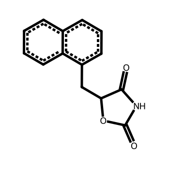 O=C1NC(=O)C(Cc2cccc3ccccc23)O1